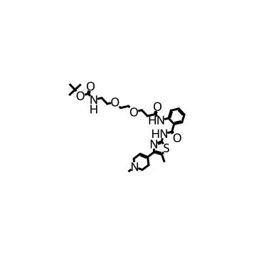 Cc1sc(NC(=O)c2ccccc2NC(=O)CCOCCOCCNC(=O)OC(C)(C)C)nc1C1=CCN(C)CC1